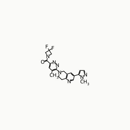 Cc1cc(C(=O)N2CC(F)(F)C2)nnc1N1CCc2ncc(-c3ccnn3C)cc2C1